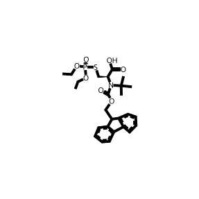 CCOP(=O)(OCC)SC[C@@H](C(=O)O)N(C(=O)OCC1c2ccccc2-c2ccccc21)C(C)(C)C